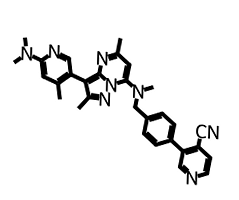 Cc1cc(N(C)Cc2ccc(-c3cnccc3C#N)cc2)n2nc(C)c(-c3cnc(N(C)C)cc3C)c2n1